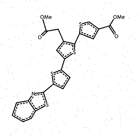 COC(=O)Cc1cc(-c2ccc(-c3nc4ccccc4s3)s2)sc1-c1cc(C(=O)OC)cs1